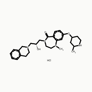 CC1CC(Oc2ccc3c(c2)N(C)CCN(C[C@H](O)CN2CCc4ccccc4C2)C3=O)CCN1.Cl